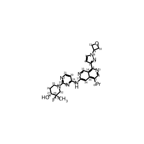 CC(C)c1cnc(-c2ccn(C3COC3)n2)c2cnc(Nc3ccnc(N4CC[C@@H](O)[C@@](C)(F)C4)n3)cc12